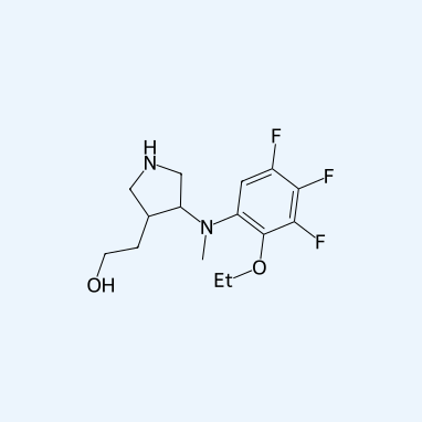 CCOc1c(N(C)C2CNCC2CCO)cc(F)c(F)c1F